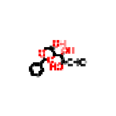 O=C[C@@H](O)[C@H](O)C1OC(c2ccccc2)OC[C@@H]1O